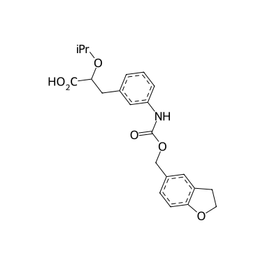 CC(C)OC(Cc1cccc(NC(=O)OCc2ccc3c(c2)CCO3)c1)C(=O)O